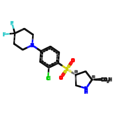 O=C(O)[C@@H]1C[C@@H](S(=O)(=O)c2ccc(N3CCC(F)(F)CC3)cc2Cl)CN1